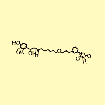 O=C1CN(c2cccc(CCCOCCCCCCNC[C@@H](O)c3ccc(O)c(CO)c3)c2)C(=O)N1